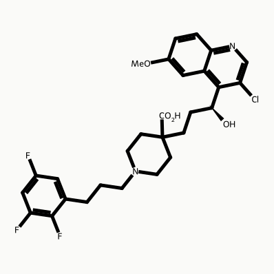 COc1ccc2ncc(Cl)c([C@@H](O)CCC3(C(=O)O)CCN(CCCc4cc(F)cc(F)c4F)CC3)c2c1